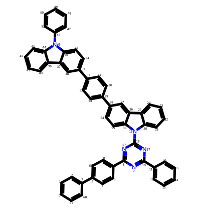 c1ccc(-c2ccc(-c3nc(-c4ccccc4)nc(-n4c5ccccc5c5cc(-c6ccc(-c7ccc8c(c7)c7ccccc7n8-c7ccccc7)cc6)ccc54)n3)cc2)cc1